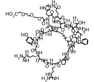 C=C(C)[C@H](NC(=O)[C@H](CCC(N)=O)NC(=O)C(Cc1cnc[nH]1)NC(=O)COCCOCCOCC(=O)O)C(=O)N[C@H]1CSSC[C@@H](C(=O)NC(Cc2ccccc2)C(=O)N[C@@H](CO)C(=O)N[C@H](C(N)=O)[C@@H](C)O)NC(=O)[C@H](C(C)C)NC(=O)[C@@H]2CCCN2C(=O)[C@H](CCCNC(=N)N)NC(=O)CNC(=O)[C@H](CCCNC(=N)N)NC(=O)[C@H](Cc2ccc(O)cc2)NC(=O)[C@H](CO)NC(=O)[C@H](CC(C)C)NC1=O